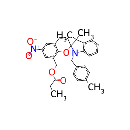 CCC(=O)OCc1cc([N+](=O)[O-])cc2c1OC1(C=C2)N(Cc2ccc(C)cc2)c2ccccc2C1(C)C